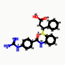 N=C(N)Nc1ccc(C(=O)Nc2ccccc2SC(CC(=O)O)c2ccccc2)cc1